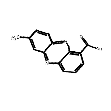 Cc1ccc2nc3c(C(=O)O)cccc3nc2c1